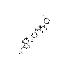 O=C(NC(=O)c1cccc(Br)c1)Nc1ccc(Oc2ncnc3c2ncn3CC2CC2)cc1